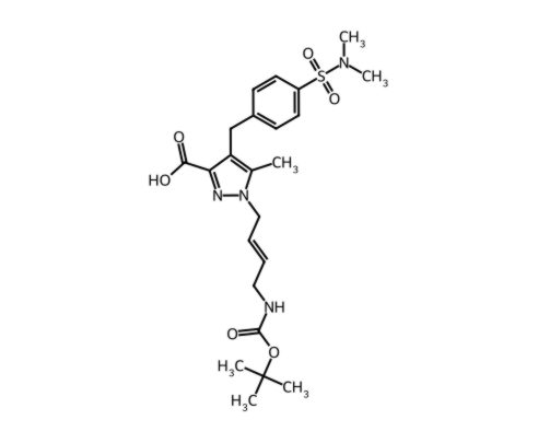 Cc1c(Cc2ccc(S(=O)(=O)N(C)C)cc2)c(C(=O)O)nn1CC=CCNC(=O)OC(C)(C)C